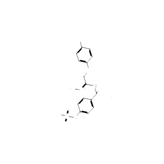 C[C@@H](N/C(COc1ccc(C(C)(C)C)cc1)=N/C#N)c1ccc(NS(C)(=O)=O)cc1